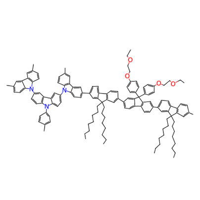 CCCCCCCCC1(CCCCCCCC)c2cc(C)ccc2-c2ccc(-c3ccc4c(c3)C(c3ccc(OCCOCC)cc3)(c3ccc(OCCOCC)cc3)c3cc(-c5ccc6c(c5)C(CCCCCCCC)(CCCCCCCC)c5cc(-c7ccc8c(c7)c7cc(C)ccc7n8-c7ccc8c(c7)c7cc(-n9c%10ccc(C)cc%10c%10cc(C)ccc%109)ccc7n8-c7ccc(C)cc7)ccc5-6)ccc3-4)cc21